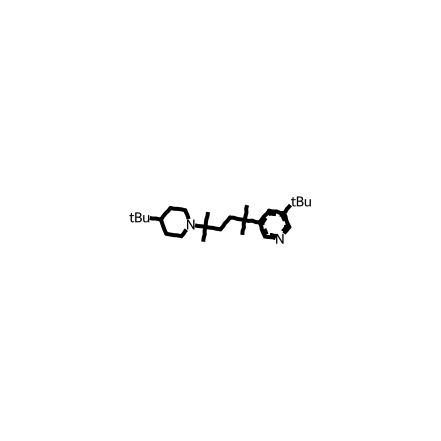 CC(C)(C)c1cncc(C(C)(C)CCC(C)(C)N2CCC(C(C)(C)C)CC2)c1